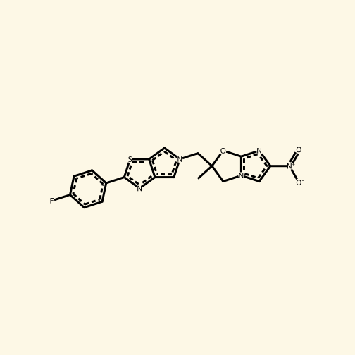 CC1(Cn2cc3nc(-c4ccc(F)cc4)sc3c2)Cn2cc([N+](=O)[O-])nc2O1